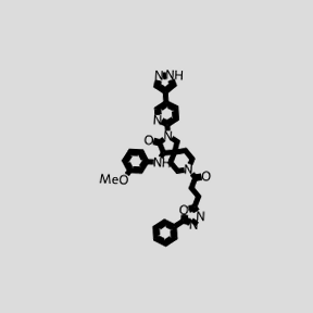 COc1cccc(NC2C(=O)N(c3ccc(-c4cn[nH]c4)cn3)CC23CCN(C(=O)CCc2nnc(-c4ccccc4)o2)CC3)c1